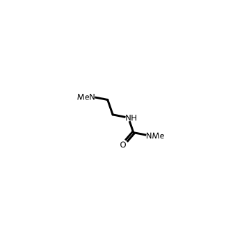 CNCCNC(=O)NC